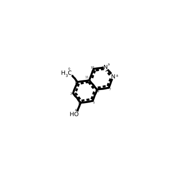 Cc1cc(O)cc2cnncc12